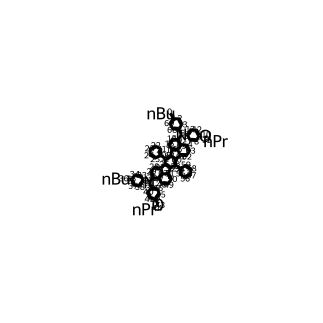 CCCCc1ccc(N(c2ccc(OCCC)cc2)c2ccc3c4c(-c5ccccc5)c5c6ccc(N(c7ccc(CCCC)cc7)c7ccc(OCCC)cc7)c7cccc(c5c(-c5ccccc5)c4c4cccc2c43)c76)cc1